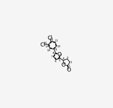 O=C1CCC(c2ccc(-c3ccc(Cl)c(Cl)c3)o2)O1